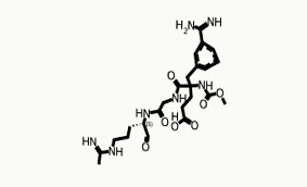 COC(=O)NC(CCC(=O)O)(Cc1cccc(C(=N)N)c1)C(=O)NCC(=O)N[C@H](C=O)CCCNC(C)=N